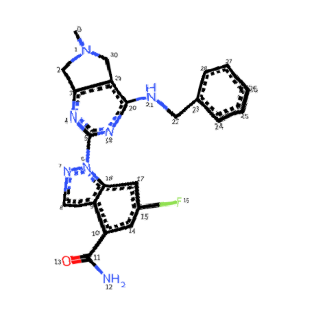 CN1Cc2nc(-n3ncc4c(C(N)=O)cc(F)cc43)nc(NCc3ccccc3)c2C1